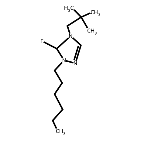 CCCCCCN1N=CN(CC(C)(C)C)C1F